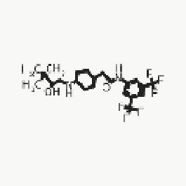 CC(C)(C)C(O)CNC1CCC(CC(=O)Nc2cc(C(F)(F)F)cc(C(F)(F)F)c2)CC1